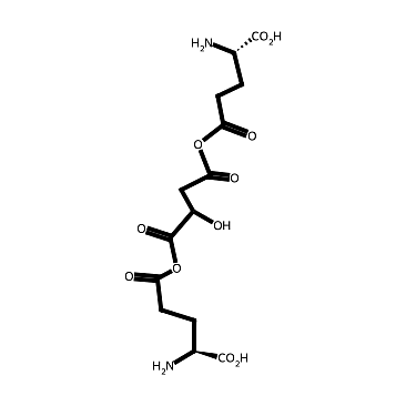 N[C@@H](CCC(=O)OC(=O)CC(O)C(=O)OC(=O)CC[C@H](N)C(=O)O)C(=O)O